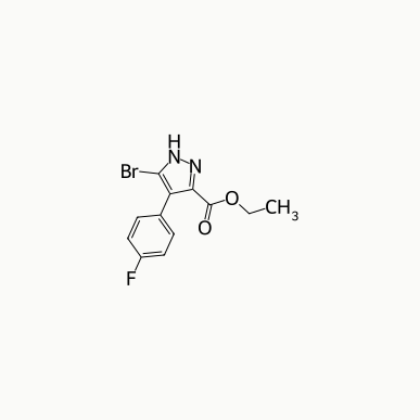 CCOC(=O)c1n[nH]c(Br)c1-c1ccc(F)cc1